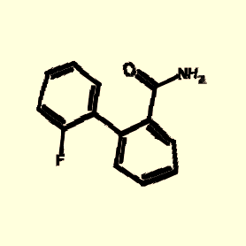 NC(=O)c1ccccc1-c1ccccc1F